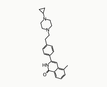 Cc1cccc2c(=O)[nH]c(-c3ccc(CCN4CCN(C5CC5)CC4)cc3)cc12